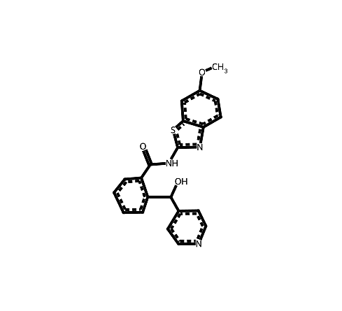 COc1ccc2nc(NC(=O)c3ccccc3C(O)c3ccncc3)sc2c1